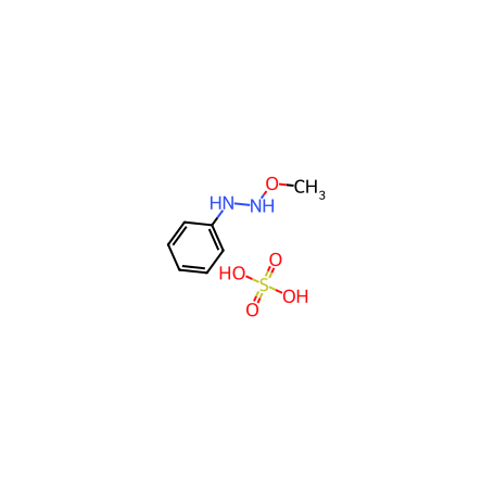 CONNc1ccccc1.O=S(=O)(O)O